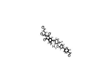 CC1CN(c2cnc(C=O)cn2)C[C@H]1CN1CCN(c2cc3c(cc2F)C(=O)N(C(C=O)CCC=O)C3=O)CC1